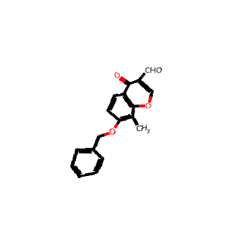 Cc1c(OCc2ccccc2)ccc2c(=O)c(C=O)coc12